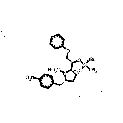 CC(C)(C)[Si](C)(C)O[C@H](COc1ccccc1)[C@H]1CC[C@H](Cc2ccc([N+](=O)[O-])cc2)N1C(=O)O